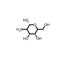 NC1[C@H](O)OC(CO)[C@@H](O)[C@H]1O